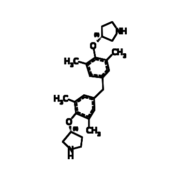 Cc1cc(Cc2cc(C)c(O[C@@H]3CCNC3)c(C)c2)cc(C)c1O[C@@H]1CCNC1